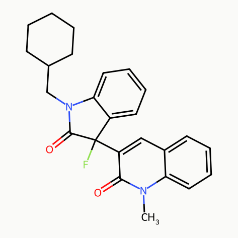 Cn1c(=O)c(C2(F)C(=O)N(CC3CCCCC3)c3ccccc32)cc2ccccc21